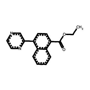 CCOC(=O)c1ccc(-c2cnccn2)c2ccccc12